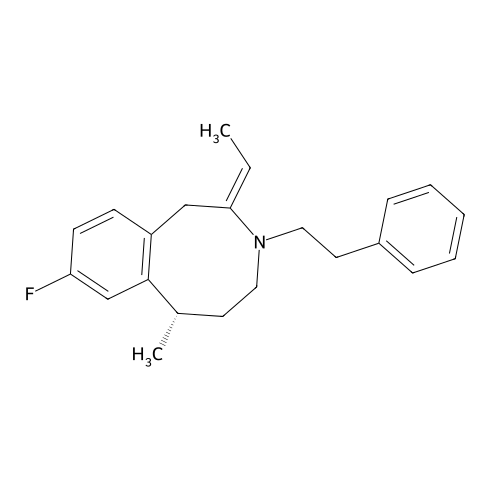 C/C=C1\Cc2ccc(F)cc2[C@@H](C)CCN1CCc1ccccc1